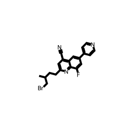 CC(CBr)CCc1cc(C#N)c2cc(-c3ccncc3)cc(F)c2n1